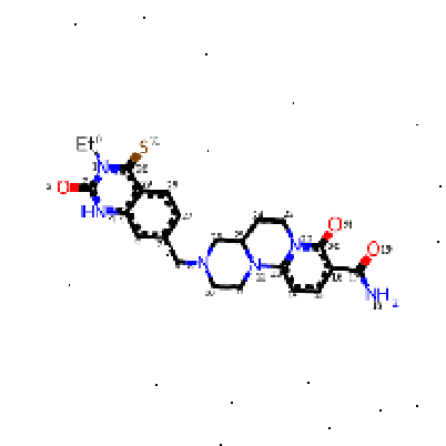 CCn1c(=O)[nH]c2cc(CN3CCN4c5ccc(C(N)=O)c(=O)n5CCC4C3)ccc2c1=S